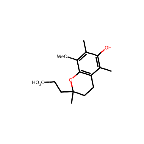 COc1c(C)c(O)c(C)c2c1OC(C)(CCC(=O)O)CC2